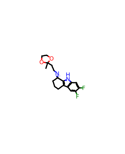 CC1(CC/N=C2\CCCc3c2[nH]c2cc(F)c(F)cc32)OCCO1